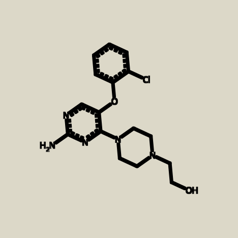 Nc1ncc(Oc2ccccc2Cl)c(N2CCN(CCO)CC2)n1